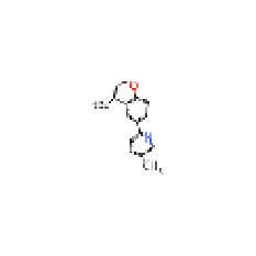 Cc1ccc(-c2ccc3c(c2)C(C(C)(C)C)CCO3)nc1